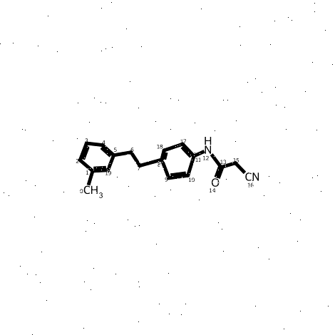 Cc1cccc(CCc2ccc(NC(=O)CC#N)cc2)c1